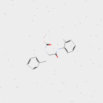 CCOC(=O)c1ccccc1NC(=O)[C@H](Cc1ccccc1)NC(=O)OC(C)(C)C